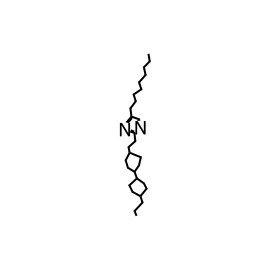 CCCCCCCCCc1cnc(CCC2CCC(C3CCC(CCC)CC3)CC2)nc1